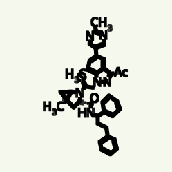 CC(=O)c1nn(CC(=O)N2C3C[C@]3(C)C[C@H]2C(=O)NC(CCc2ccccc2)c2ccccc2)c2c(C)cc(-c3cnc(C)nc3)cc12